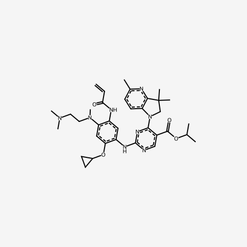 C=CC(=O)Nc1cc(Nc2ncc(C(=O)OC(C)C)c(N3CC(C)(C)c4nc(C)ccc43)n2)c(OC2CC2)cc1N(C)CCN(C)C